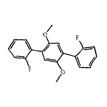 COc1cc(-c2ccccc2F)c(OC)cc1-c1ccccc1F